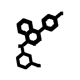 CCN1CCCC(Nc2nnc(-c3ccc(Cl)cc3)c3ccccc23)C1